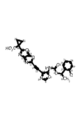 CC(OC(=O)Nc1ocnc1C#Cc1nc2nc(C3(C(=O)O)CC3)oc2o1)c1ccccc1Cl